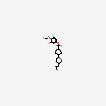 CCCC1CCC(C2CCC(C(F)(F)Oc3cc(F)c(OCF)c(F)c3)CC2)OC1